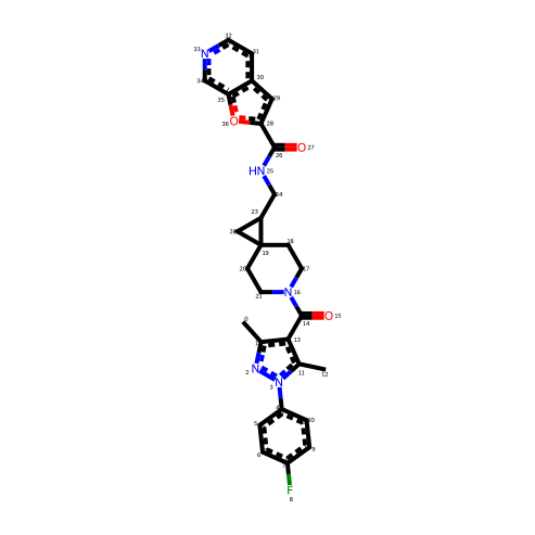 Cc1nn(-c2ccc(F)cc2)c(C)c1C(=O)N1CCC2(CC1)CC2CNC(=O)c1cc2ccncc2o1